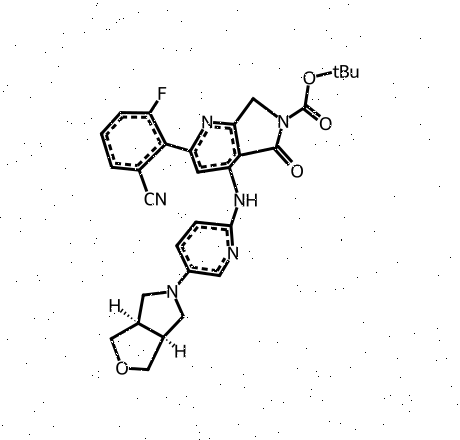 CC(C)(C)OC(=O)N1Cc2nc(-c3c(F)cccc3C#N)cc(Nc3ccc(N4C[C@H]5COC[C@H]5C4)cn3)c2C1=O